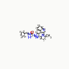 Cc1cccc(-c2nn(CC(=O)NCc3ccccc3)cc2-c2ccnc3ccccc23)n1